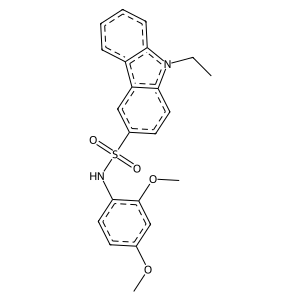 CCn1c2ccccc2c2cc(S(=O)(=O)Nc3ccc(OC)cc3OC)ccc21